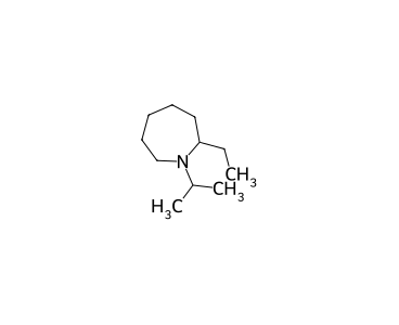 CCC1CCCCCN1C(C)C